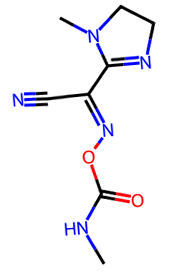 CNC(=O)ON=C(C#N)C1=NCCN1C